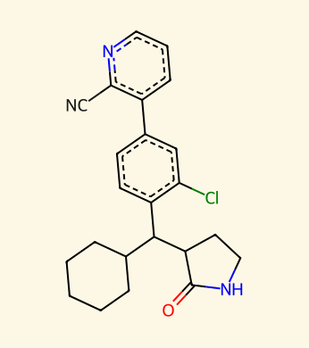 N#Cc1ncccc1-c1ccc(C(C2CCCCC2)C2CCNC2=O)c(Cl)c1